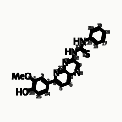 COc1cc(-c2ccc3ncc(NC(=S)Nc4ccccc4)nc3n2)ccc1O